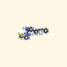 Fc1ccc(-c2ccnc3[nH]c(-c4n[nH]c5cnc(-c6cncc(CNCc7ccccc7)c6)cc45)nc23)s1